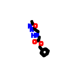 Cc1nnc(CNCC(=O)OCc2ccccc2)o1